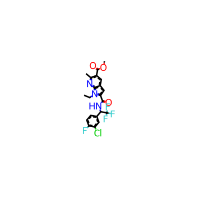 CCn1c(C(=O)NC(c2ccc(F)c(Cl)c2)C(F)(F)F)cc2cc(C(=O)OC)c(C)nc21